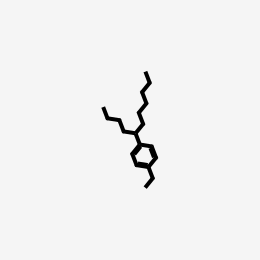 CCCCCC[C](CCCC)c1ccc(CC)cc1